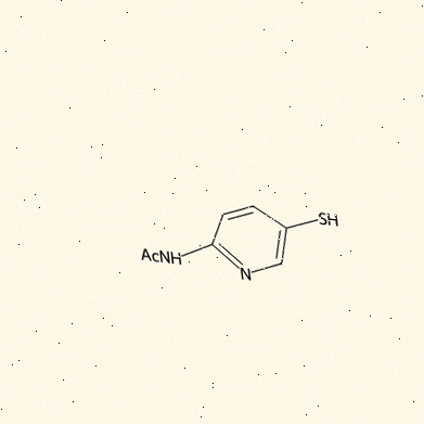 CC(=O)Nc1ccc(S)cn1